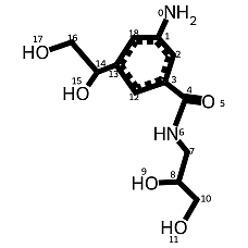 Nc1cc(C(=O)NCC(O)CO)cc(C(O)CO)c1